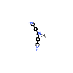 Cn1nc(-c2ccc(C3=CCNCC3)cc2)cc1-c1ccc(C2=CCNCC2)cc1